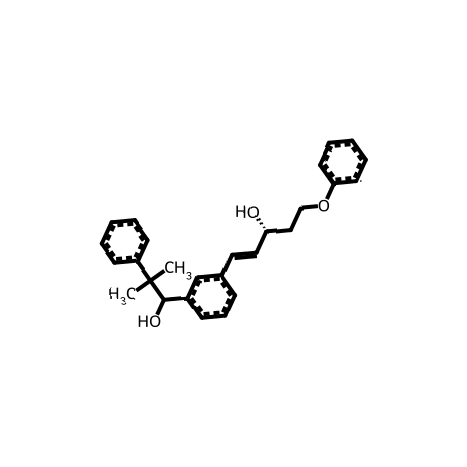 CC(C)(c1ccccc1)C(O)c1cccc(/C=C/[C@H](O)CCOc2[c]cccc2)c1